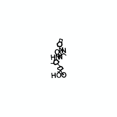 CC1=NN(c2ccc3c(c2)CC3)C(=O)/C1=N\Nc1cc(C)cc(-c2ccc(C(=O)O)s2)c1